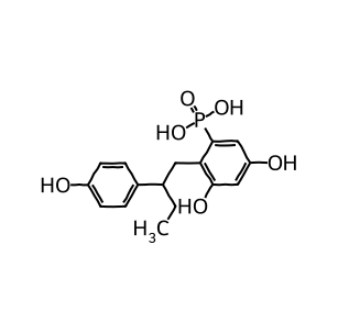 CCC(Cc1c(O)cc(O)cc1P(=O)(O)O)c1ccc(O)cc1